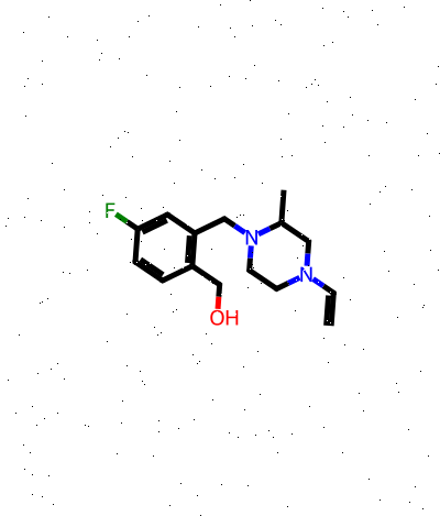 C=CN1CCN(Cc2cc(F)ccc2CO)C(C)C1